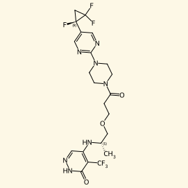 C[C@@H](COCCC(=O)N1CCN(c2ncc([C@]3(F)CC3(F)F)cn2)CC1)Nc1cn[nH]c(=O)c1C(F)(F)F